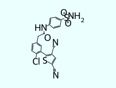 N#Cc1cc(C#N)c(-c2cc(CC(=O)Nc3ccc(S(N)(=O)=O)cc3)ccc2Cl)s1